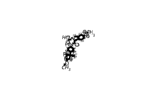 CCOC(=O)CC(c1ccc(NC(=O)c2c3ccc(S(C)(=O)=O)cc3cn2C(=O)O)cc1)(C(F)(F)F)C(F)(F)F